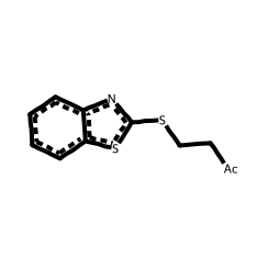 CC(=O)CCSc1nc2ccccc2s1